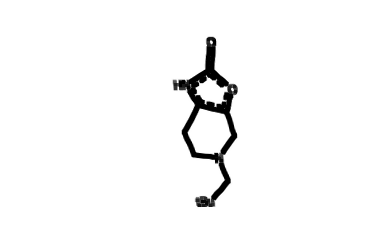 CC(C)(C)CN1CCc2[nH]c(=O)oc2C1